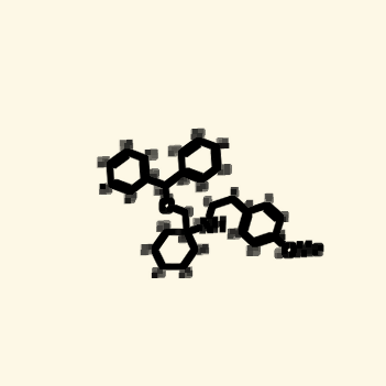 COc1ccc(CCNC2(COC(c3ccccc3)c3ccccc3)CCCCC2)cc1